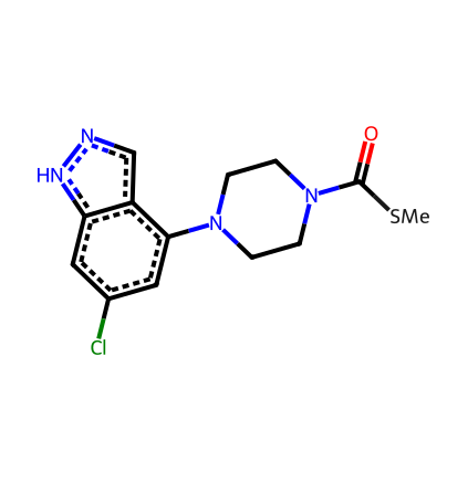 CSC(=O)N1CCN(c2cc(Cl)cc3[nH]ncc23)CC1